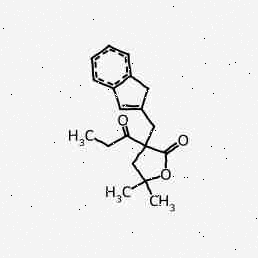 CCC(=O)C1(CC2=Cc3ccccc3C2)CC(C)(C)OC1=O